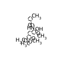 COc1ccc(/C=C\c2cc(OC)c(OC)c(OC)c2)c(N/C=C\C(=O)c2cccc(C)c2)c1O